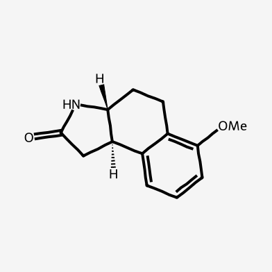 COc1cccc2c1CC[C@H]1NC(=O)C[C@H]21